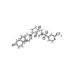 O=S(=O)(c1cccc(C(F)(F)F)c1)N1C[C@H]2CC[C@H](NCc3cc4cc(F)ccc4[nH]3)[C@H]2C1